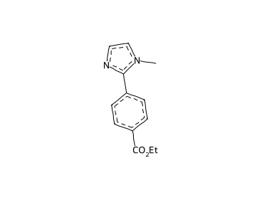 CCOC(=O)c1ccc(-c2nccn2C)cc1